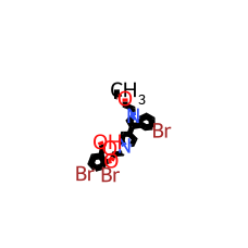 CCOCCn1cc(C2CCN(CCOc3c(C(=O)O)ccc(Br)c3Br)CC2)c2cc(Br)ccc21